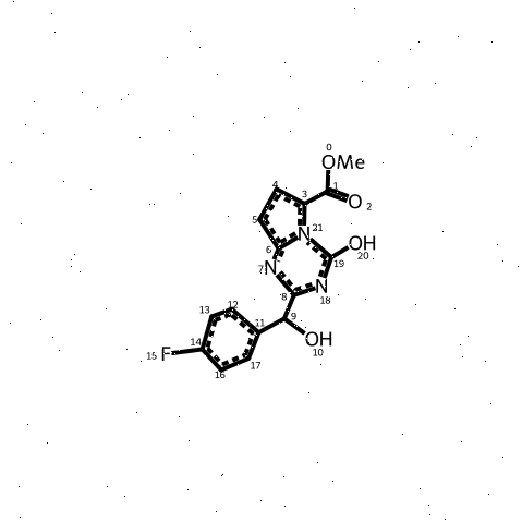 COC(=O)c1ccc2nc(C(O)c3ccc(F)cc3)nc(O)n12